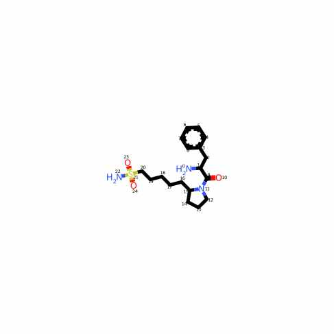 NC(Cc1ccccc1)C(=O)N1CCCC1CCCCCS(N)(=O)=O